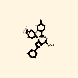 COC(=O)c1sc(-c2ccccc2)cc1N(C(=O)C1CCC(C)CC1)C1CCS(=O)(=O)CC1